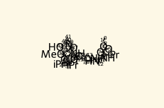 C=CCOC(=O)C(=O)C(NCC(C)NNc1ccc(COC(=O)Nc2cc(O[Si](C(C)C)(C(C)C)C(C)C)c(OC)cc2C(=O)N2C=C(C)C[C@H]2CO)cc1)C(C)C